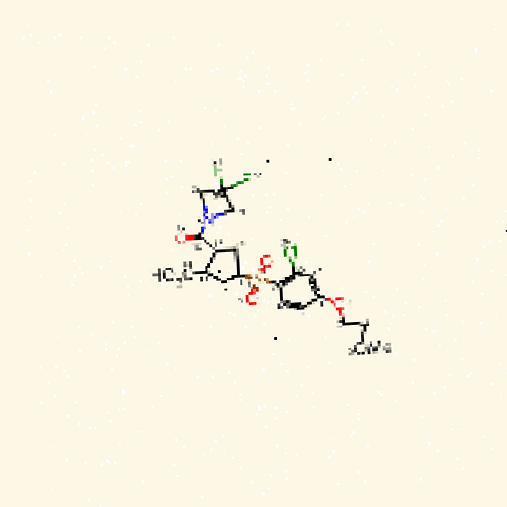 COCCOc1ccc(S(=O)(=O)[C@H]2C[C@@H](C(=O)O)[C@H](C(=O)N3CC(F)(F)C3)C2)c(Cl)c1